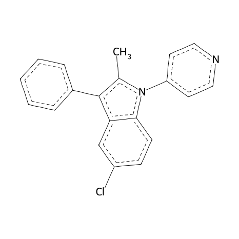 Cc1c(-c2ccccc2)c2cc(Cl)ccc2n1-c1ccncc1